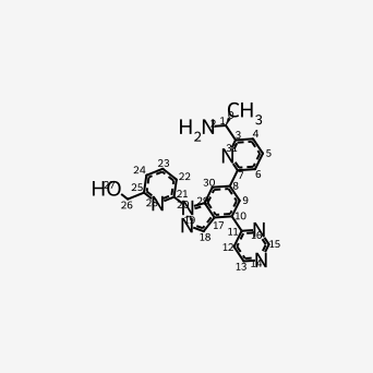 C[C@H](N)c1cccc(-c2cc(-c3ccncn3)c3cnn(-c4cccc(CO)n4)c3c2)n1